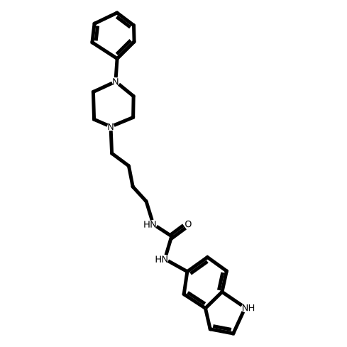 O=C(NCCCCN1CCN(c2ccccc2)CC1)Nc1ccc2[nH]ccc2c1